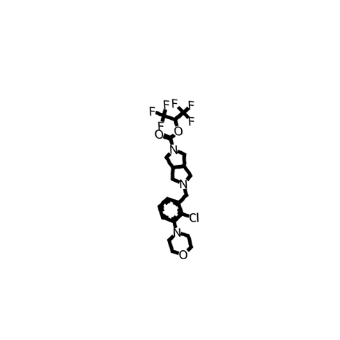 O=C(OC(C(F)(F)F)C(F)(F)F)N1CC2CN(Cc3cccc(N4CCOCC4)c3Cl)CC2C1